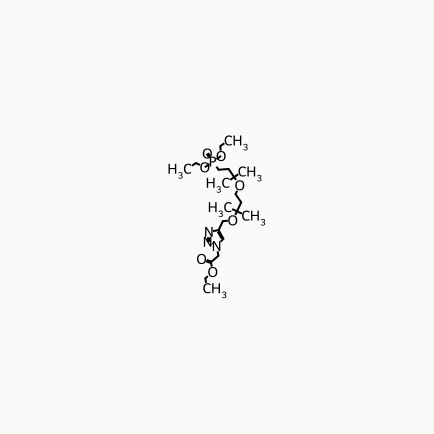 CCOC(=O)Cn1cc(COC(C)(C)CCOC(C)(C)CCP(=O)(OCC)OCC)nn1